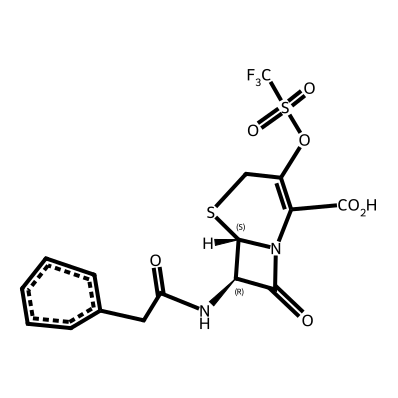 O=C(Cc1ccccc1)N[C@@H]1C(=O)N2C(C(=O)O)=C(OS(=O)(=O)C(F)(F)F)CS[C@@H]12